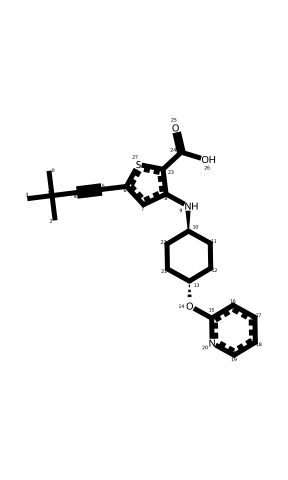 CC(C)(C)C#Cc1cc(N[C@H]2CC[C@H](Oc3ccccn3)CC2)c(C(=O)O)s1